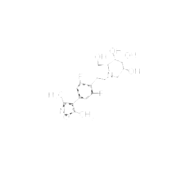 Cc1noc(C)c1-c1cc(F)c(CCN2C[C@H](O)[C@@H](O)[C@H](O)[C@@H]2CO)c(F)c1